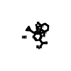 CO[C@@]1(c2cncc(C(N)=O)c2)[C@@H]2CCC[C@H]1CN(CC1CC1)C2.Cl